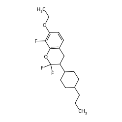 CCCC1CCC(C2Cc3ccc(OCC)c(F)c3OC2(F)F)CC1